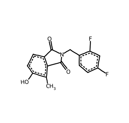 Cc1c(O)ccc2c1C(=O)N(Cc1ccc(F)cc1F)C2=O